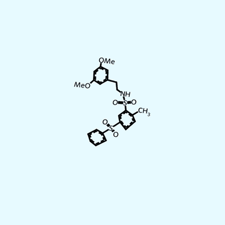 COc1cc(CCNS(=O)(=O)c2cc(S(=O)(=O)c3ccccc3)ccc2C)cc(OC)c1